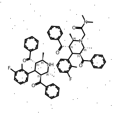 Cc1c(F)cccc1C1[C@H](C(=O)c2ccccc2)[C@@H](C)N(CC(=O)N(C)C)[C@H](C)[C@H]1C(=O)c1ccccc1.Cc1c(F)cccc1C1[C@H](C(=O)c2ccccc2)[C@@H](C)N[C@H](C)[C@H]1C(=O)c1ccccc1